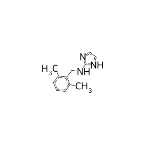 Cc1cccc(C)c1CNc1ncc[nH]1